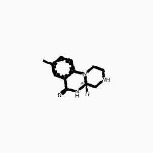 Cc1ccc2c(c1)C(=O)N[C@H]1CNCCN21